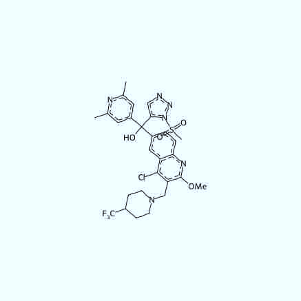 COc1nc2ccc(C(O)(c3cc(C)nc(C)c3)c3cnnn3S(C)(=O)=O)cc2c(Cl)c1CN1CCC(C(F)(F)F)CC1